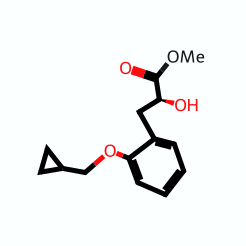 COC(=O)[C@@H](O)Cc1ccccc1OCC1CC1